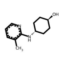 Cc1cccnc1N[C@H]1CC[C@H](O)CC1